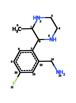 CC1NCCNC1c1ccc(F)cc1CN